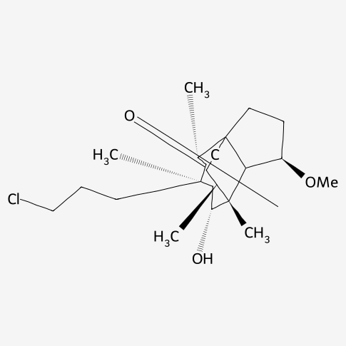 CO[C@@H]1CCC23CC[C@@H](C)[C@](C)(C12)[C@H](O)C[C@@](C)(CCCCl)C(=O)[C@@H]3C